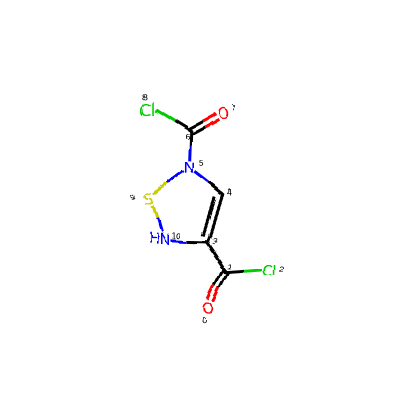 O=C(Cl)C1=CN(C(=O)Cl)SN1